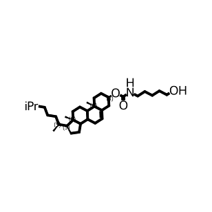 CC(C)CCC[C@H](C)[C@@H]1CCC2C3CC=C4C[C@H](OC(=O)NCCCCCO)CC[C@@]4(C)C3CC[C@]21C